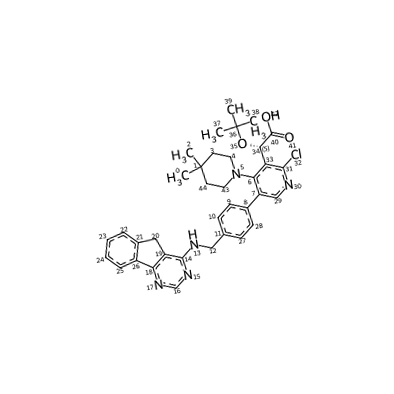 CC1(C)CCN(c2c(-c3ccc(CNc4ncnc5c4Cc4ccccc4-5)cc3)cnc(Cl)c2[C@H](OC(C)(C)C)C(=O)O)CC1